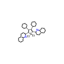 CC[Si]1(CC)C(c2ccc3ccccc3n2)=C(c2ccccc2)C(c2ccccc2)=C1c1ccc2ccccc2n1